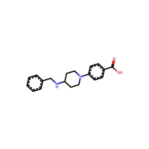 O=C(O)c1ccc(N2CCC(NCc3ccccc3)CC2)cc1